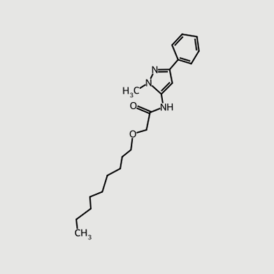 CCCCCCCCCOCC(=O)Nc1cc(-c2ccccc2)nn1C